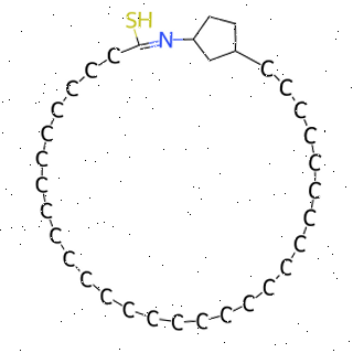 SC1=NC2CCC(CCCCCCCCCCCCCCCCCCCCCCCCCCCC1)C2